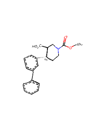 CC(C)(C)OC(=O)N1CC[C@H](c2cccc(-c3ccccc3)c2)C(C(=O)O)C1